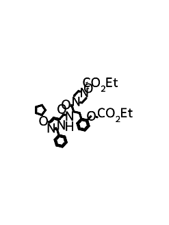 CCOC(=O)COc1ccccc1CC(NC(=O)c1cc(OC2CCCC2)nc(-c2ccccc2)n1)C(=O)N1CCN(OC(=O)OCC)CC1